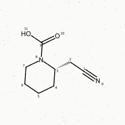 N#CC[C@@H]1CCCCN1C(=O)O